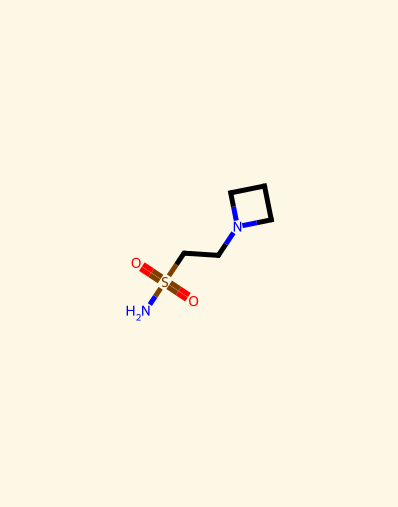 NS(=O)(=O)CCN1CCC1